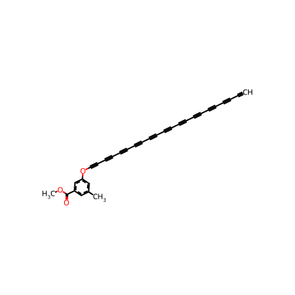 C#CC#CC#CC#CC#CC#CC#CC#CC#CC#CC#COc1cc(C)cc(C(=O)OC)c1